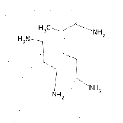 CC(CN)CCCN.NCCCN